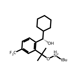 CC(C)(C)[SiH2]OC(C)(C)c1cc(C(F)(F)F)ccc1[C@@H](O)C1CCCCC1